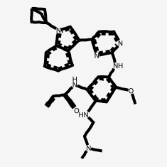 C=CC(=O)Nc1cc(Nc2nccc(-c3cn(C45CC(C4)C5)c4ccccc34)n2)c(OC)cc1NCCN(C)C